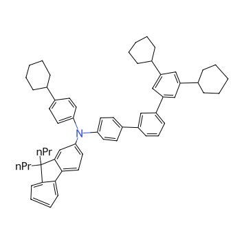 CCCC1(CCC)c2ccccc2-c2ccc(N(c3ccc(-c4cccc(-c5cc(C6CCCCC6)cc(C6CCCCC6)c5)c4)cc3)c3ccc(C4CCCCC4)cc3)cc21